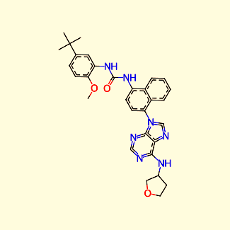 COc1ccc(C(C)(C)C)cc1NC(=O)Nc1ccc(-n2cnc3c(NC4CCOC4)ncnc32)c2ccccc12